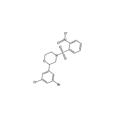 O=[N+]([O-])c1ccccc1S(=O)(=O)N1CCOC(c2cc(Cl)cc(Br)c2)C1